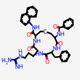 N=C(N)NCCCC1NC(=O)C(Cc2ccccc2)NC(=O)C(NC(=O)c2ccccc2)CCCC(C(=O)Nc2cccc3ccccc23)NC1=O